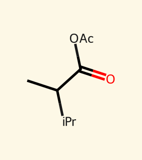 CC(=O)OC(=O)C(C)C(C)C